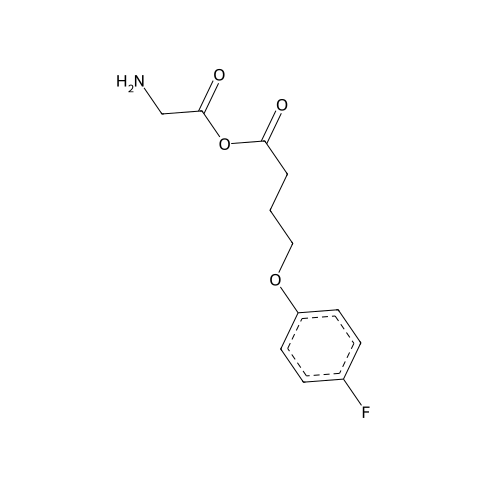 NCC(=O)OC(=O)CCCOc1ccc(F)cc1